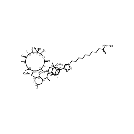 CC[C@H]1OC(=O)[C@H](C)[C@@H](O[C@H]2C[C@@](C)(OC)[C@@H](O)[C@H](C)O2)[C@H](C)[C@@H](O[C@@H]2O[C@H](C)C[C@H](N(C)Cc3ccc(-c4cn(CCCCCCCCCC(=O)NO)nn4)cc3)[C@H]2O)[C@](C)(OC)C[C@@H](C)C(=O)[C@H](C)[C@@H](O)[C@]1(C)O